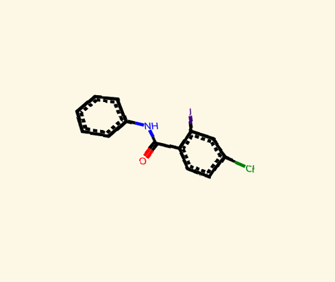 O=C(Nc1ccccc1)c1ccc(Cl)cc1I